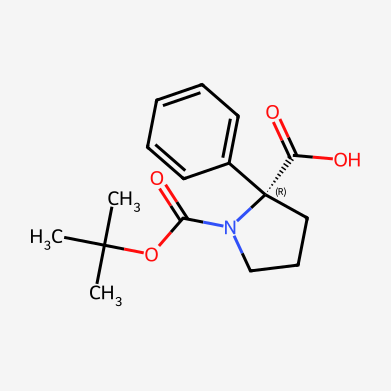 CC(C)(C)OC(=O)N1CCC[C@]1(C(=O)O)c1ccccc1